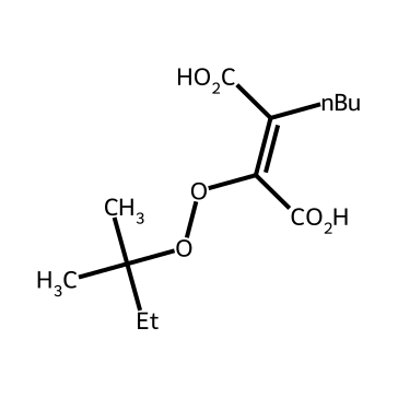 CCCC/C(C(=O)O)=C(/OOC(C)(C)CC)C(=O)O